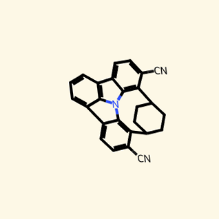 N#Cc1ccc2c3cccc4c5ccc(C#N)c6c5n(c2c1C1CCC6CC1)c34